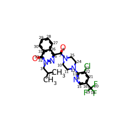 CC(C)Cn1nc(C(=O)N2CCN(c3ncc(C(F)(F)F)cc3Cl)CC2)c2ccccc2c1=O